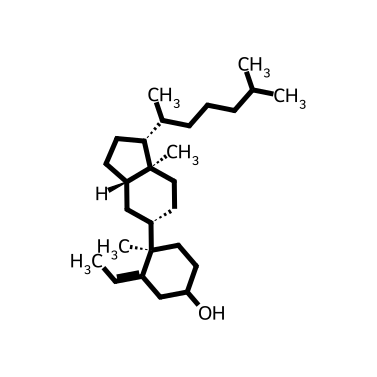 C/C=C1/CC(O)CC[C@]1(C)[C@H]1CC[C@@]2(C)[C@@H](CC[C@@H]2C(C)CCCC(C)C)C1